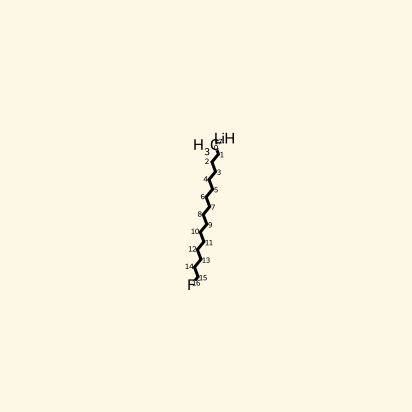 CCCCCCCCCCCCCCCCF.[LiH]